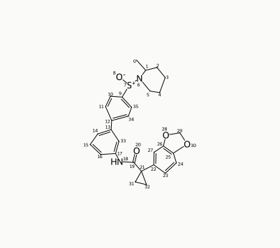 CC1CCCCN1[S+]([O-])c1ccc(-c2cccc(NC(=O)C3(c4ccc5c(c4)OCO5)CC3)c2)cc1